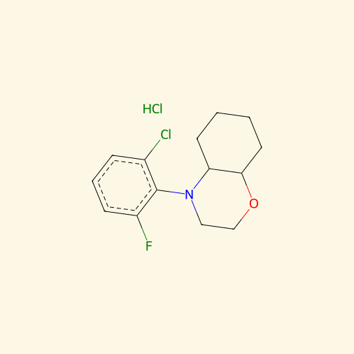 Cl.Fc1cccc(Cl)c1N1CCOC2CCCCC21